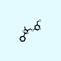 Cc1oc(-c2ccccc2)nc1COc1cncc(CCl)c1